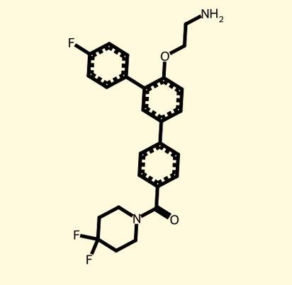 NCCOc1ccc(-c2ccc(C(=O)N3CCC(F)(F)CC3)cc2)cc1-c1ccc(F)cc1